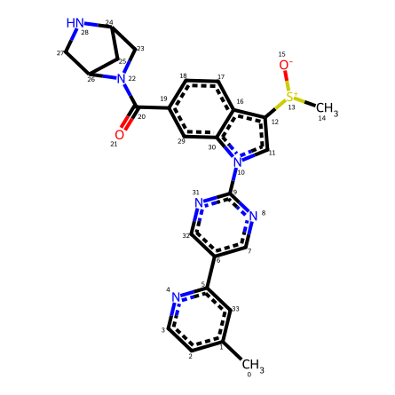 Cc1ccnc(-c2cnc(-n3cc([S+](C)[O-])c4ccc(C(=O)N5CC6CC5CN6)cc43)nc2)c1